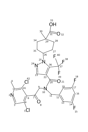 Cc1ncc(Cl)c(C(=O)CN(Cc2cc(F)cc(F)c2)C(=O)c2cnn(C3CCC(C)(C(=O)O)CC3)c2C(F)(F)F)c1Cl